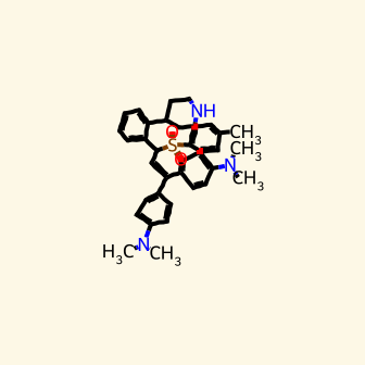 Cc1ccc(S(=O)(=O)C(C=C(c2ccc(N(C)C)cc2)c2ccc(N(C)C)cc2)c2ccccc2C2CCNCC2)cc1